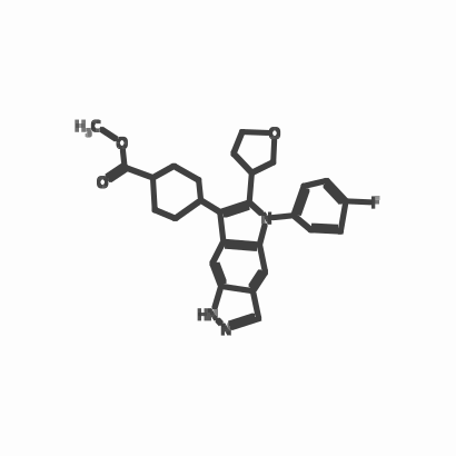 COC(=O)C1CCC(c2c(C3CCOC3)n(-c3ccc(F)cc3)c3cc4cn[nH]c4cc23)CC1